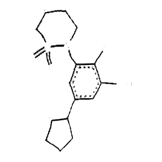 O=C(O)c1cc(C2CCCC2)cc(N2CCCCS2(=O)=O)c1F